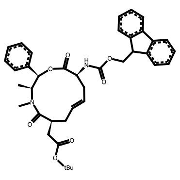 C[C@H]1[C@@H](c2ccccc2)OC(=O)[C@@H](NC(=O)OCC2c3ccccc3-c3ccccc32)C/C=C/C[C@@H](CC(=O)OC(C)(C)C)C(=O)N1C